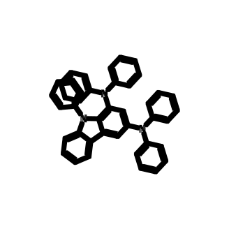 C1=C=C(n2c3ccccc3c3cc(N(c4ccccc4)c4ccccc4)cc(N(C4=CC=CCC4)c4ccccc4)c32)C=CC=1